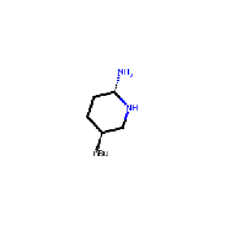 CCCC[C@H]1CC[C@H](N)NC1